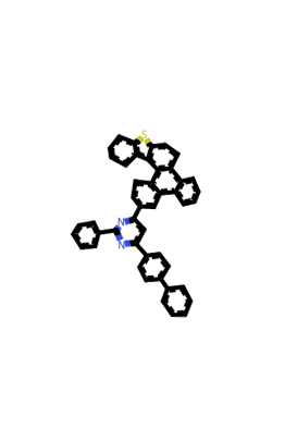 c1ccc(-c2ccc(-c3cc(-c4ccc5c(c4)c4ccccc4c4ccc6sc7ccccc7c6c45)nc(-c4ccccc4)n3)cc2)cc1